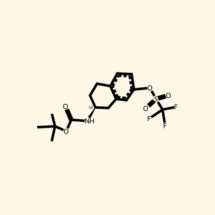 CC(C)(C)OC(=O)N[C@H]1CCc2ccc(OS(=O)(=O)C(F)(F)F)cc2C1